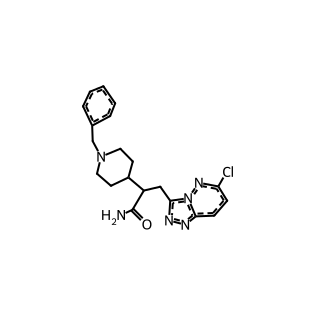 NC(=O)C(Cc1nnc2ccc(Cl)nn12)C1CCN(Cc2ccccc2)CC1